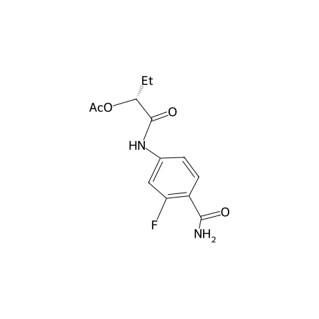 CC[C@@H](OC(C)=O)C(=O)Nc1ccc(C(N)=O)c(F)c1